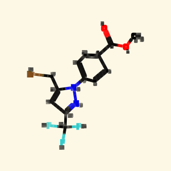 COC(=O)c1ccc(-n2nc(C(F)(F)F)cc2CBr)cc1